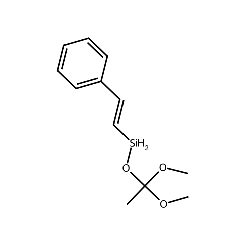 COC(C)(OC)O[SiH2]C=Cc1ccccc1